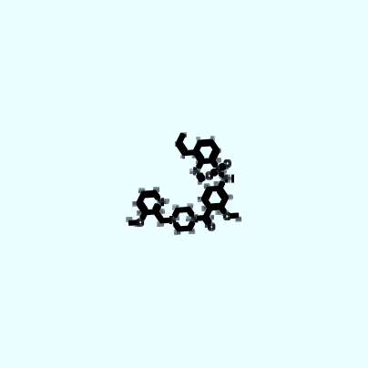 C=Nc1c(/C=C\C)cccc1S(=O)(=O)Nc1ccc(C(=O)N2CCN(Cc3ncccc3OC)CC2)c(OC)c1